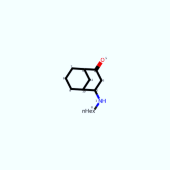 CCCCCCNC1CC(=O)C2CCCC1C2